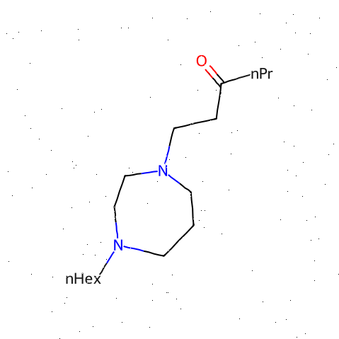 CCCCCCN1CCCN(CCC(=O)CCC)CC1